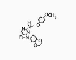 COc1ccc(OCCNc2ncc(F)c(Nc3ccc4c(c3)OCCO4)n2)cc1